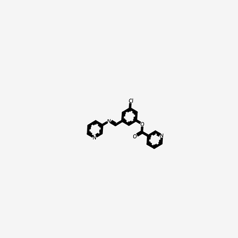 O=C(Oc1cc(Cl)cc(C=Nc2cccnc2)c1)c1cccnc1